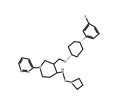 Fc1cccc([C@H]2CC[C@@H](OCC3CN(c4cccnn4)CCC3NSN3CCC3)CC2)c1